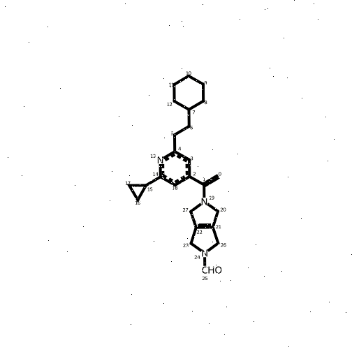 C=C(c1cc(CCC2CCCCC2)nc(C2CC2)c1)N1CC2=C(CN(C=O)C2)C1